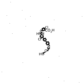 O=C(O)c1cc(Oc2nc3cc(-c4ccc(-c5ccc(CN6CC(COCCO)C6)cc5)cc4)c(Cl)cc3[nH]2)ccc1Cl